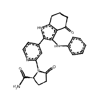 NC(=O)[C@@H]1CCC(=O)N1c1cc(-c2[nH]c3c(c2Nc2ccccc2)C(=O)CCC3)ccn1